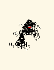 CC[C@H](C)[C@@H]([C@@H](CC(=O)N1CCC[C@H]1[C@H](OC)[C@@H](C)C(=O)N[C@@H](Cc1ccccc1)C(=O)OC)OC)N(C)C(=O)[C@@H](NC(=O)N1CCN(C(=O)OC(C)(C)C)CC1)C(C)C